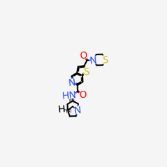 O=C(N[C@@H]1C[C@@H]2CCN(C2)C1)c1cc2sc(C(=O)N3CCSCC3)cc2cn1